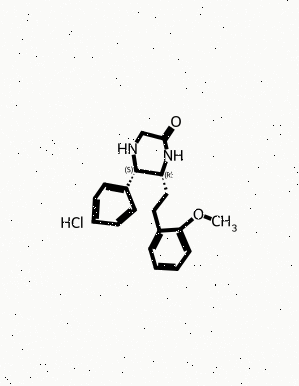 COc1ccccc1CC[C@H]1NC(=O)CN[C@H]1c1ccccc1.Cl